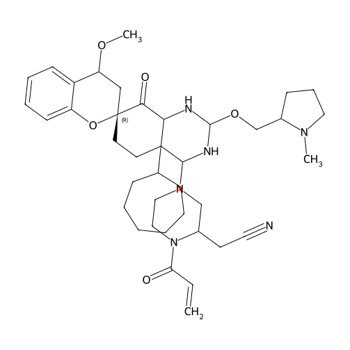 C=CC(=O)N1CCN(C2NC(OCC3CCCN3C)NC3C(=O)[C@@]4(CCC32C2CCCCCC2)CC(OC)c2ccccc2O4)CC1CC#N